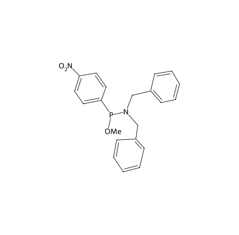 COP(c1ccc([N+](=O)[O-])cc1)N(Cc1ccccc1)Cc1ccccc1